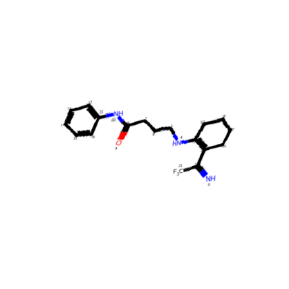 N=C(C1=C(NCCCC(=O)Nc2ccccc2)CCCC1)C(F)(F)F